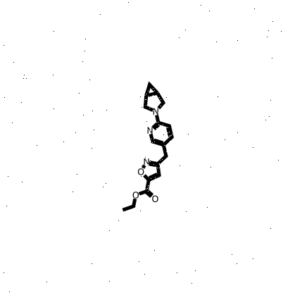 CCOC(=O)c1cc(Cc2ccc(N3CC4CC4C3)nc2)no1